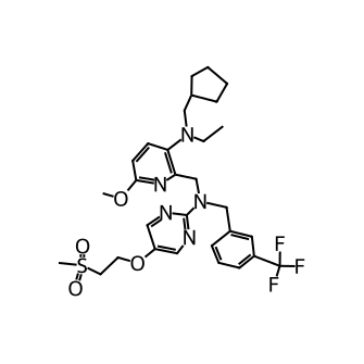 CCN(CC1CCCC1)c1ccc(OC)nc1CN(Cc1cccc(C(F)(F)F)c1)c1ncc(OCCS(C)(=O)=O)cn1